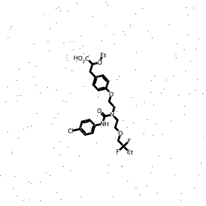 CCOC(Cc1ccc(OCCN(CCOCC(F)(F)CC)C(=O)Nc2ccc(Cl)cc2)cc1)C(=O)O